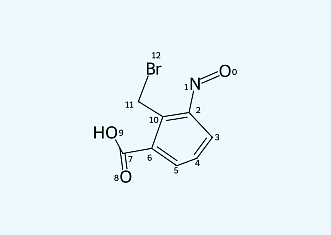 O=Nc1cccc(C(=O)O)c1CBr